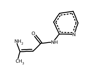 CC(N)=CC(=O)Nc1ccccn1